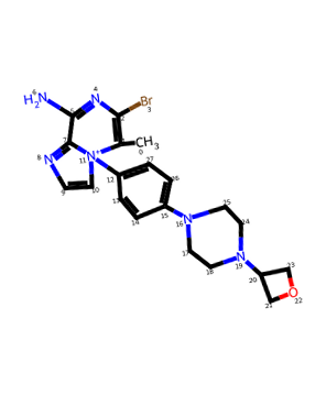 CC1=C(Br)N=C(N)C2=NC=C[N+]21c1ccc(N2CCN(C3COC3)CC2)cc1